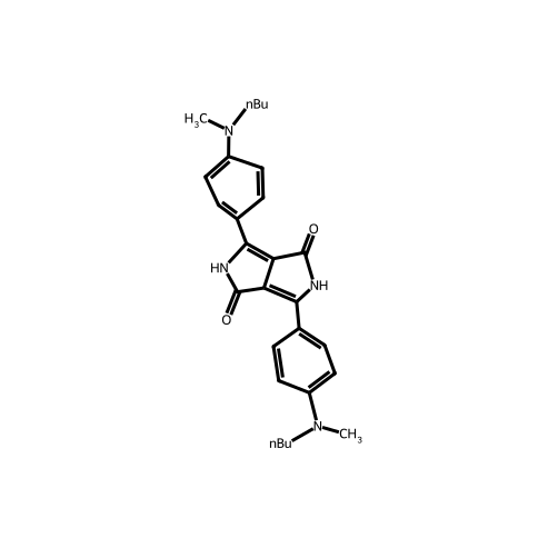 CCCCN(C)c1ccc(C2=C3C(=O)NC(c4ccc(N(C)CCCC)cc4)=C3C(=O)N2)cc1